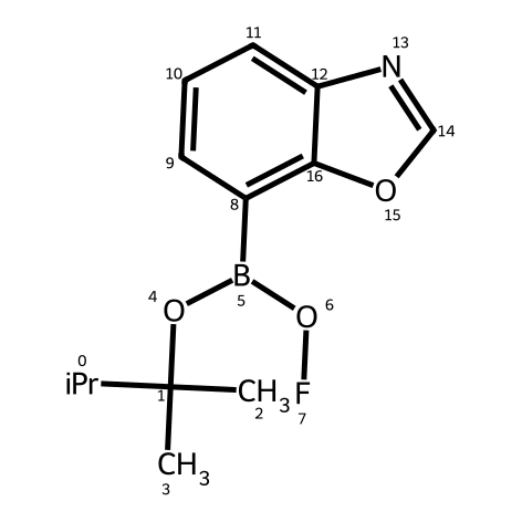 CC(C)C(C)(C)OB(OF)c1cccc2ncoc12